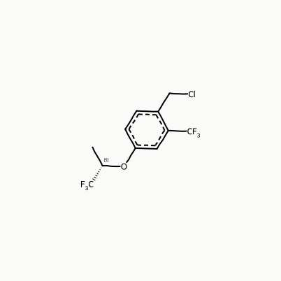 C[C@H](Oc1ccc(CCl)c(C(F)(F)F)c1)C(F)(F)F